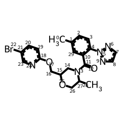 Cc1ccc(-n2nccn2)c(C(=O)N2CC(COc3ccc(Br)cn3)OCC2C)c1